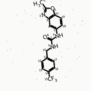 Cc1nc2cc(NC(=O)NCc3ccc(C(F)(F)F)cc3)ccc2o1